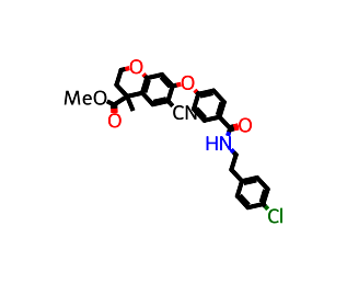 COC(=O)C1(C)CCOc2cc(Oc3ccc(C(=O)NCCc4ccc(Cl)cc4)cc3)c(C#N)cc21